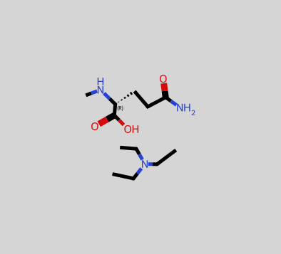 CCN(CC)CC.CN[C@H](CCC(N)=O)C(=O)O